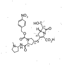 C[C@@H](O)[C@H]1C(=O)N2C(C(=O)O)=C(S[C@H]3C[C@@H](C(=O)NC4CCCN4C)N(C(=O)OCc4ccc([N+](=O)[O-])cc4)C3)[C@H](C)[C@H]12